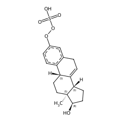 C[C@]12CC[C@H]3C(=CCc4cc(OOS(=O)(=O)O)ccc43)[C@@H]1CC[C@H]2O